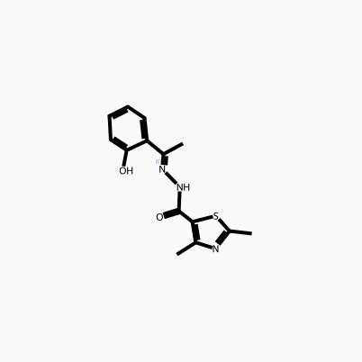 C/C(=N\NC(=O)c1sc(C)nc1C)c1ccccc1O